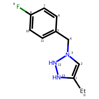 CCC1=CN(Cc2ccc(F)cc2)NN1